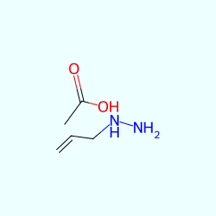 C=CCNN.CC(=O)O